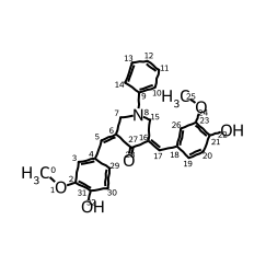 COc1cc(/C=C2/CN(c3ccccc3)C/C(=C\c3ccc(O)c(OC)c3)C2=O)ccc1O